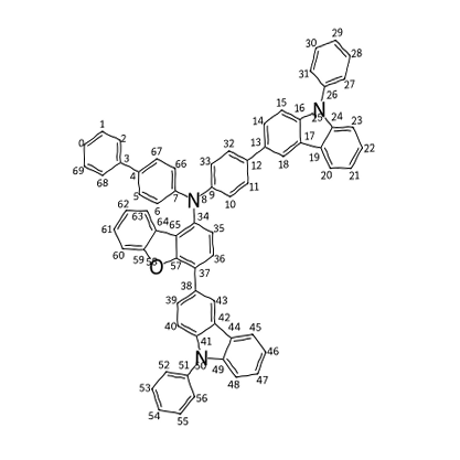 c1ccc(-c2ccc(N(c3ccc(-c4ccc5c(c4)c4ccccc4n5-c4ccccc4)cc3)c3ccc(-c4ccc5c(c4)c4ccccc4n5-c4ccccc4)c4oc5ccccc5c34)cc2)cc1